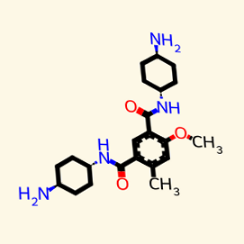 COc1cc(C)c(C(=O)N[C@H]2CC[C@H](N)CC2)cc1C(=O)N[C@H]1CC[C@H](N)CC1